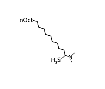 CCCCCCCCCCCCCCCCCC([SiH3])N(C)C